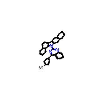 N#Cc1ccc(-c2nc(-n3c4cc5ccccc5cc4c4ccc5ccccc5c43)nc3ccccc23)cc1